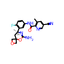 Cc1cc(C#N)cnc1C(=O)Nc1ccc(F)c([C@]2(C)CC3(COC3)OC(N)=N2)c1